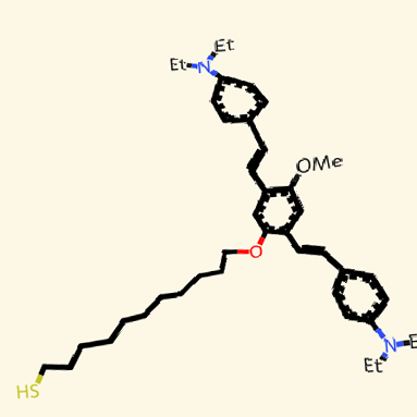 CCN(CC)c1ccc(C=Cc2cc(OCCCCCCCCCCCS)c(C=Cc3ccc(N(CC)CC)cc3)cc2OC)cc1